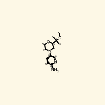 COC(C)(C)C1CN(c2ccc(N)nc2)CCO1